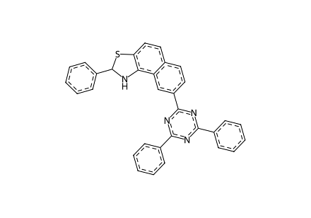 c1ccc(-c2nc(-c3ccccc3)nc(-c3ccc4ccc5c(c4c3)NC(c3ccccc3)S5)n2)cc1